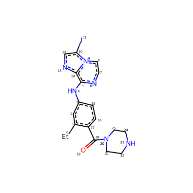 CCc1cc(Nc2nccn3c(I)cnc23)ccc1C(=O)N1CCNCC1